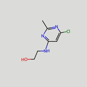 Cc1nc(Cl)cc(NCCO)n1